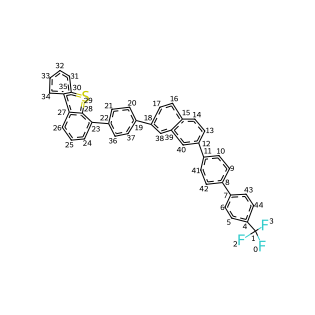 FC(F)(F)c1ccc(-c2ccc(-c3ccc4ccc(-c5ccc(-c6cccc7c6sc6ccccc67)cc5)cc4c3)cc2)cc1